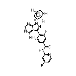 Nc1ncnc2c1c(-c1ccc(C(=O)Nc3cc(F)ccn3)cc1F)nn2[C@@H]1C[C@@H]2CN[C@@H]1C2